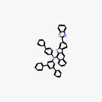 c1ccc(-c2ccc(N(c3cc(-c4ccccc4)cc(-c4ccccc4)c3)c3c4ccccc4cc4c3oc3cc(-c5nc6ccccc6o5)ccc34)cc2)cc1